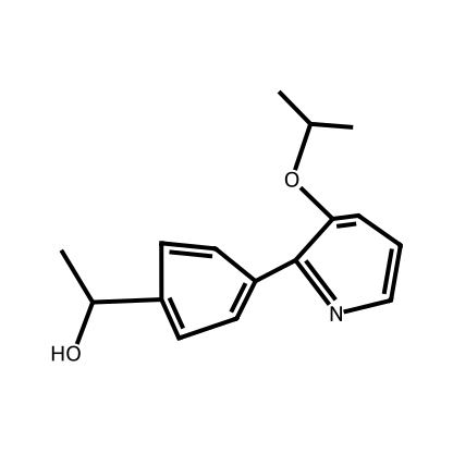 CC(C)Oc1cccnc1-c1ccc(C(C)O)cc1